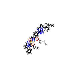 C.COc1ccccc1-c1ccc2cnc(Nc3cccc(C(=O)N4CCOC([S+]([O-])c5ncc6ccc(-c7ccccc7OC)n6n5)C4)c3)nn12